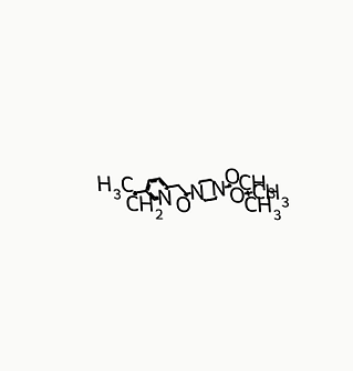 C=C(C)c1ccc(CC(=O)N2CCN(C(=O)OC(C)(C)C)CC2)nc1